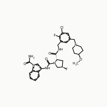 COC1CCN(Cc2cc(Cl)c(F)c(CNC(=O)[C@@H]3C[C@@H](F)CN3C(=O)Nc3cn(C(N)=O)c4ccccc34)c2)CC1